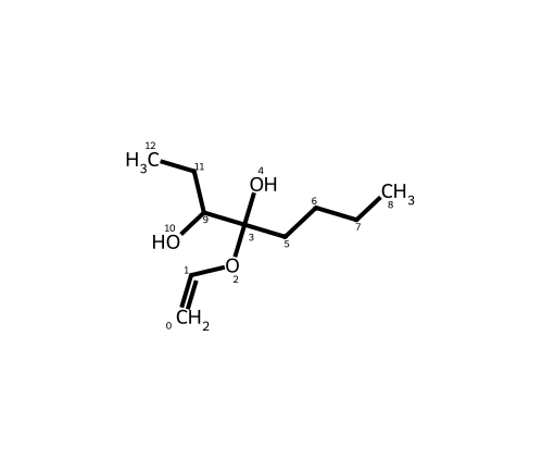 C=COC(O)(CCCC)C(O)CC